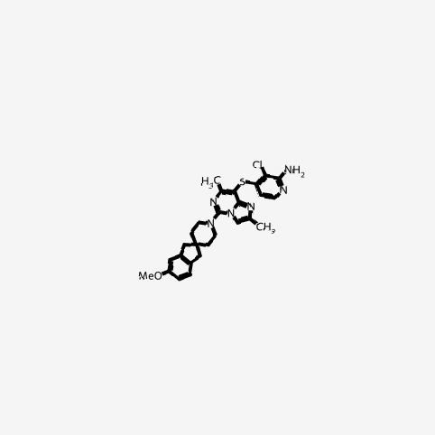 COc1ccc2c(c1)CC1(CCN(c3nc(C)c(Sc4ccnc(N)c4Cl)c4nc(C)cn34)CC1)C2